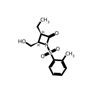 CC[C@H]1C(=O)N(S(=O)(=O)c2ccccc2C)[C@H]1CO